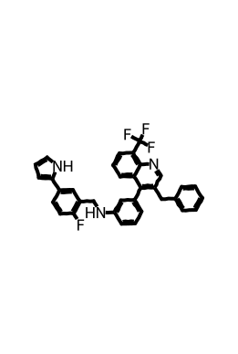 Fc1ccc(-c2ccc[nH]2)cc1CNc1cccc(-c2c(Cc3ccccc3)cnc3c(C(F)(F)F)cccc23)c1